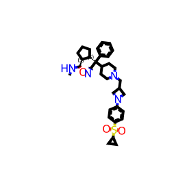 CNC(=O)[C@H]1CCC[C@@H]1C(C#N)(c1ccccc1)C1CCN(CC2CN(c3ccc(S(=O)(=O)C4CC4)cc3)C2)CC1